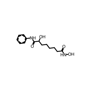 O=C(CCCCCC(O)C(=O)Nc1ccccc1)NO